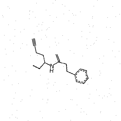 C#CCCC(CC)NC(=C)CCc1ccccc1